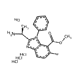 COC(=O)c1c(F)ccc2nc([C@H](C)N)n(-c3ccccc3)c12.Cl.Cl.Cl.Cl